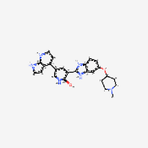 CN1CCC(Oc2ccc3nc(-c4cc(-c5ccnc6[nH]ccc56)c[nH]c4=O)[nH]c3c2)CC1